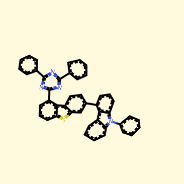 c1ccc(-c2nc(-c3ccccc3)nc(-c3cccc4sc5cc(-c6cccc7c6c6ccccc6n7-c6ccccc6)ccc5c34)n2)cc1